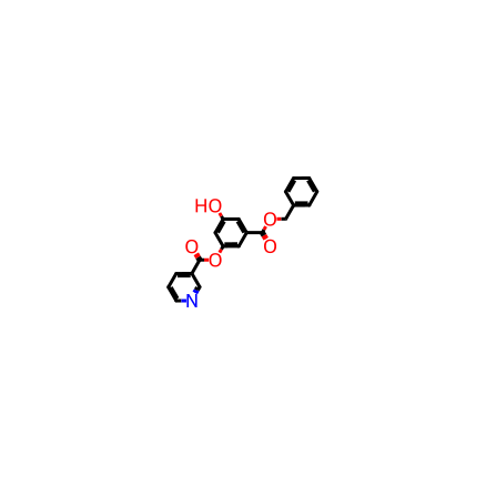 O=C(OCc1ccccc1)c1cc(O)cc(OC(=O)c2cccnc2)c1